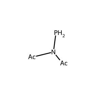 CC(=O)N(P)C(C)=O